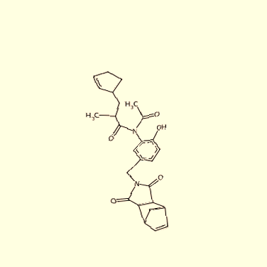 CC(=O)N(C(=O)C(C)CC1C=CCC1)c1cc(CN2C(=O)C3C4C=CC(C4)C3C2=O)ccc1O